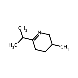 CC1CCC(C(C)C)=NC1